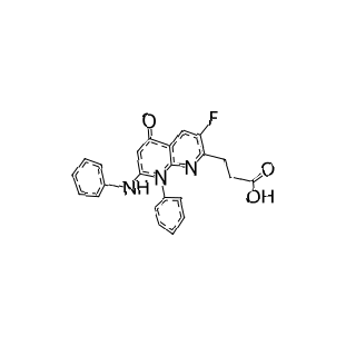 O=C(O)CCc1nc2c(cc1F)c(=O)cc(Nc1ccccc1)n2-c1ccccc1